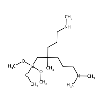 CNCCCC(C)(CCCN(C)C)C[Si](OC)(OC)OC